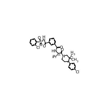 CC(C)[C@@H](NC(=O)c1cccc(C(=O)NS(=O)(=O)c2ccccc2Cl)c1)C(=O)N1CC[C@H](c2ccc(Cl)cc2)C(C)(C)C1